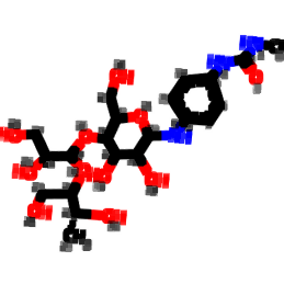 CNC(=O)Nc1ccc(NC2OC(CO)C(OC(OC(CO)[C@@H](C)O)[C@@H](O)CO)C(O)C2O)cc1